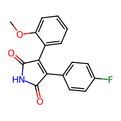 COc1ccccc1C1=C(c2ccc(F)cc2)C(=O)NC1=O